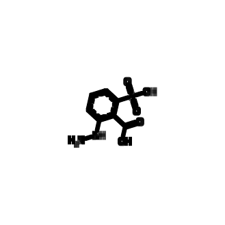 NNc1cccc(S(=O)(=O)O)c1C(=O)O